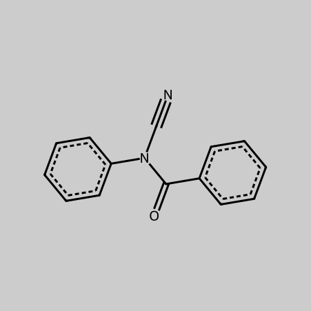 N#CN(C(=O)c1ccccc1)c1ccccc1